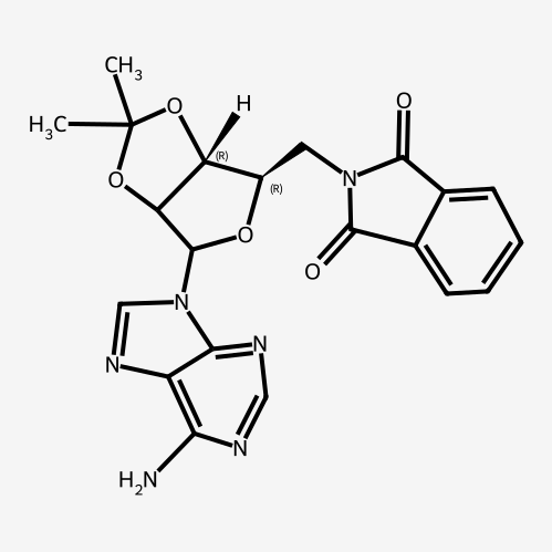 CC1(C)OC2C(n3cnc4c(N)ncnc43)O[C@H](CN3C(=O)c4ccccc4C3=O)[C@H]2O1